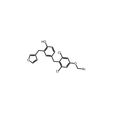 CC(=O)COc1cc(Cl)c(Cc2ccc(O)c(Cc3ccoc3)c2)c(Cl)c1